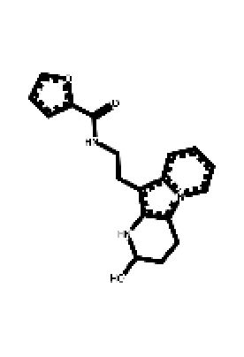 O=C(NCCc1c2c(n3ccccc13)CCC(O)N2)c1ccco1